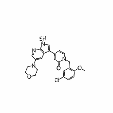 COc1ccc(Cl)cc1Cn1ccc(-c2cn(S)c3ncc(N4CCOCC4)cc23)cc1=O